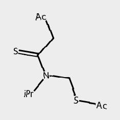 CC(=O)CC(=S)N(CSC(C)=O)C(C)C